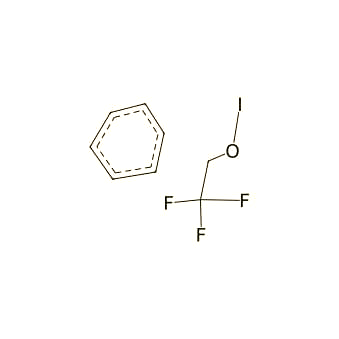 FC(F)(F)COI.c1ccccc1